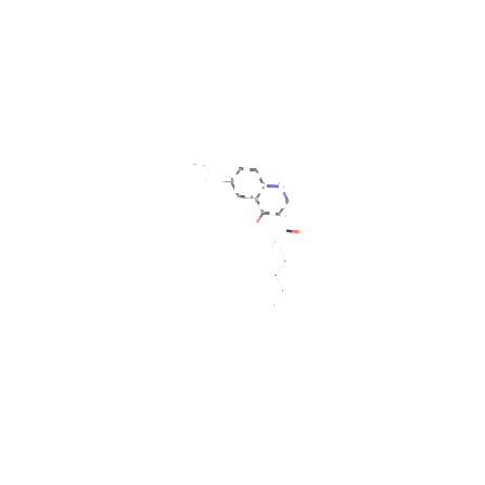 CCCCCNC(=O)c1c[nH]c2ccc(OCC)cc2c1=O